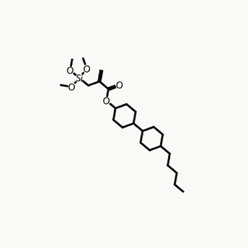 C=C(C[Si](OC)(OC)OC)C(=O)OC1CCC(C2CCC(CCCCC)CC2)CC1